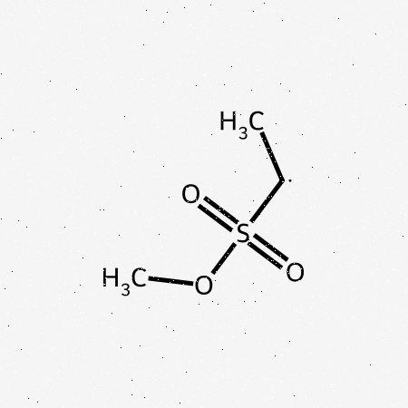 C[CH]S(=O)(=O)OC